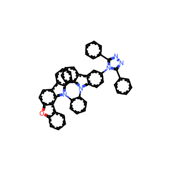 c1ccc(-c2nnc(-c3ccccc3)n2-c2ccc3c(c2)c2ccccc2n3-c2ccccc2-n2c3ccccc3c3ccc4oc5ccccc5c4c32)cc1